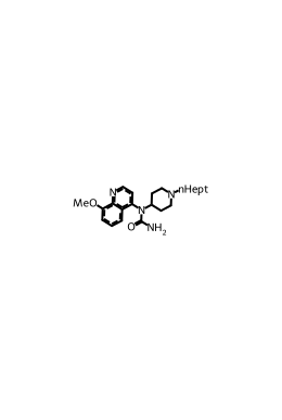 CCCCCCCN1CCC(N(C(N)=O)c2ccnc3c(OC)cccc23)CC1